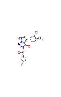 O=C(Cn1cnc2[nH]cc(-c3ccc(C(F)(F)F)c(Cl)c3)c2c1=O)N1CCC(F)C1